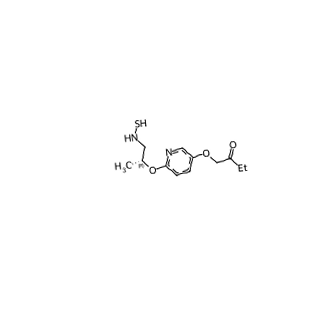 CCC(=O)COc1ccc(O[C@H](C)CNS)nc1